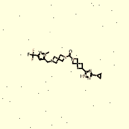 Cn1nc(C(F)(F)F)cc1CN1CC2(C1)CN(C(=O)N1CC3(CC(c4nc(C5CC5)n[nH]4)C3)C1)C2